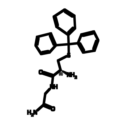 NC(=O)CNC(=O)[C@@H](N)CSC(c1ccccc1)(c1ccccc1)c1ccccc1